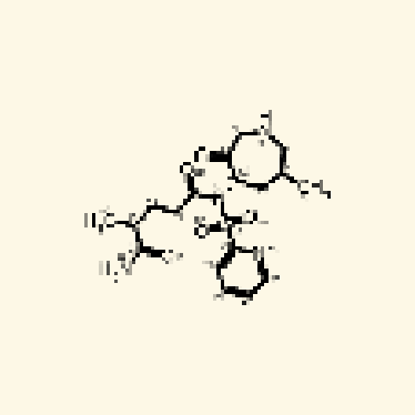 CC1CNCC(=O)[C@@H](N(C(=O)[CH]CC(C)C(N)=O)S(=O)(=O)c2ccccn2)C1